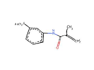 C=C(C)C(=O)Nc1cccc(S(=O)(=O)O)c1